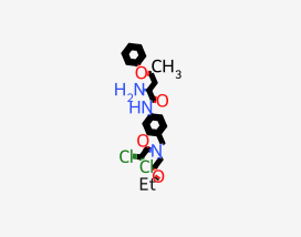 CCOCCN(Cc1ccc(NC(=O)[C@@H](N)CC(C)Oc2ccccc2)cc1)C(=O)C(Cl)Cl